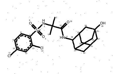 CC(C)(NS(=O)(=O)c1ccc(Cl)cc1Cl)C(=O)NC1C2CC3CC1CC(O)(C3)C2